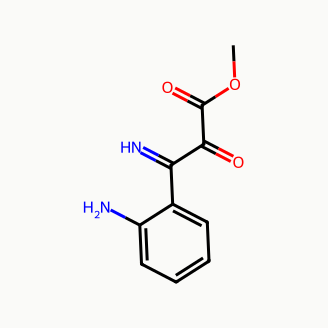 COC(=O)C(=O)C(=N)c1ccccc1N